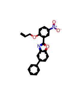 C=CCOc1ccc([N+](=O)[O-])cc1-c1nc2cc(-c3ccccc3)ccc2o1